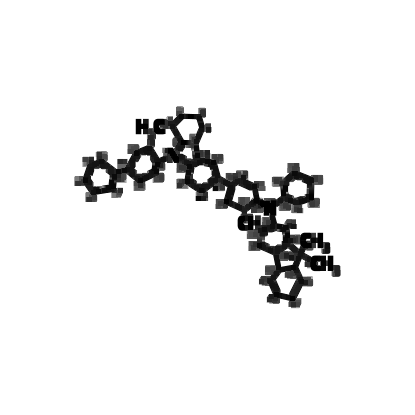 CC1CCCc2c1n(-c1ccc(-c3ccccc3)cc1)c1ccc(C3=CC(C)[C@H](N(c4ccccc4)c4ccc5c(c4)C(C)(C)C4C=CC=CC54)C=C3)cc21